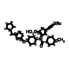 CC(C)(C)C#Cc1cc(N(C(=O)[C@H]2CC[C@H](C)CC2)[C@H]2CC[C@H](Oc3nc(CN4CCCC4)ns3)CC2)c(C(=O)O)s1